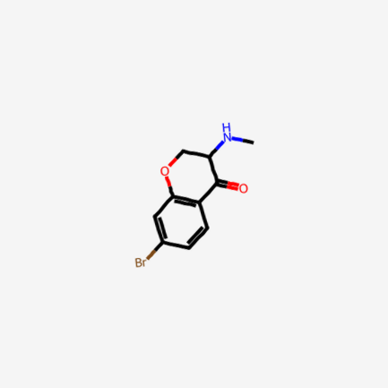 CNC1COc2cc(Br)ccc2C1=O